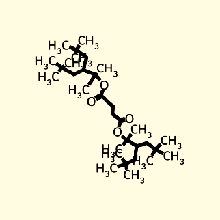 CC(C)(C)CC(CC(C)(C)C)C(C)(C)OC(=O)CCC(=O)OC(C)(C)C(CC(C)(C)C)CC(C)(C)C